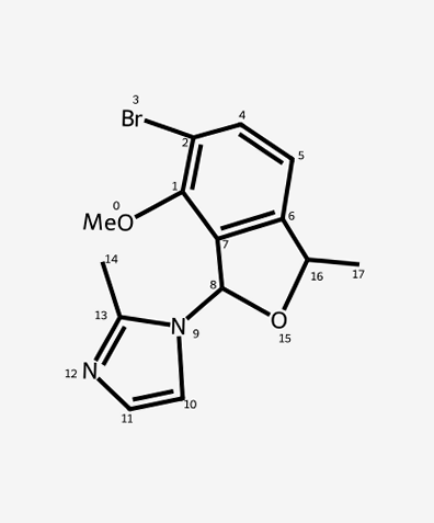 COc1c(Br)ccc2c1C(n1ccnc1C)OC2C